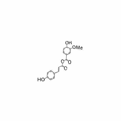 COc1cc(C(=O)OC(=O)/C=C/c2ccc(O)cc2)ccc1O